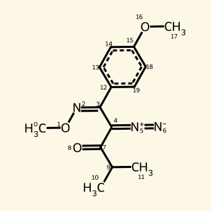 CO/N=C(\C(=[N+]=[N-])C(=O)C(C)C)c1ccc(OC)cc1